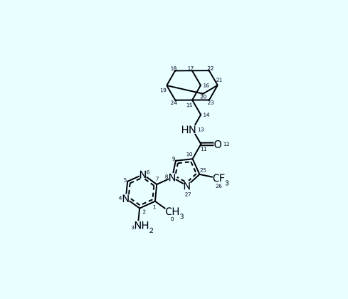 Cc1c(N)ncnc1-n1cc(C(=O)NCC23CC4CC(CC(C4)C2)C3)c(C(F)(F)F)n1